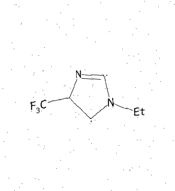 CCN1[C]=NC(C(F)(F)F)[CH]1